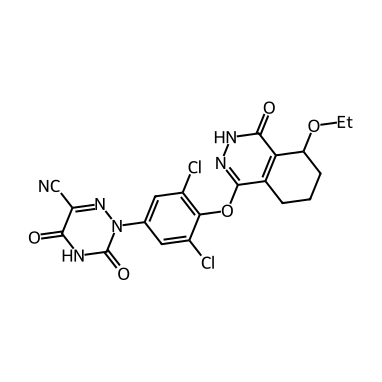 CCOC1CCCc2c(Oc3c(Cl)cc(-n4nc(C#N)c(=O)[nH]c4=O)cc3Cl)n[nH]c(=O)c21